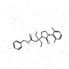 CC[N+](CC)(CC(=O)OCc1ccccc1)C1CCN(c2c(C)cccc2C)C1=O